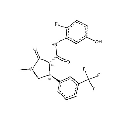 CN1C[C@H](c2cccc(C(F)(F)F)c2)[C@@H](C(=O)Nc2cc(O)ccc2F)C1=O